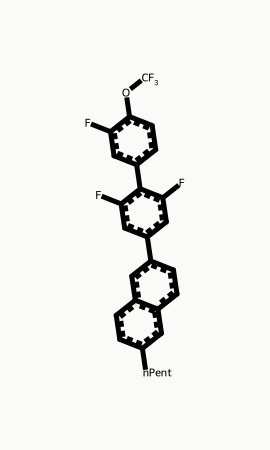 CCCCCc1ccc2cc(-c3cc(F)c(-c4ccc(OC(F)(F)F)c(F)c4)c(F)c3)ccc2c1